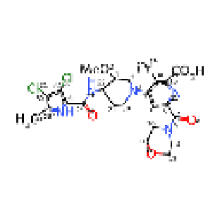 COC1CN(c2cc(C(=O)N3CCOCC3)nc(C(=O)O)c2C(C)C)CCC1NC(=O)c1[nH]c(C)c(Cl)c1Cl